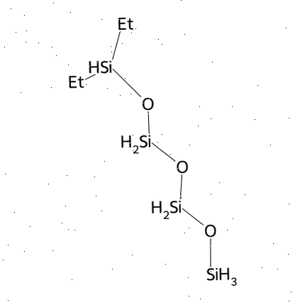 CC[SiH](CC)O[SiH2]O[SiH2]O[SiH3]